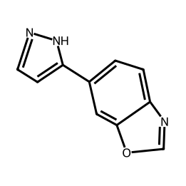 c1cc(-c2ccc3ncoc3c2)[nH]n1